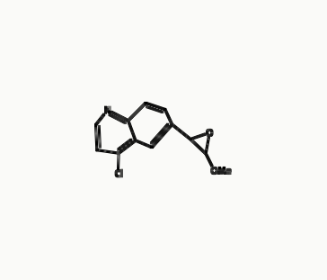 COC1OC1c1ccc2nccc(Cl)c2c1